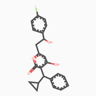 O=c1oc(CC(O)c2ccc(F)cc2)cc(O)c1C(c1ccccc1)C1CC1